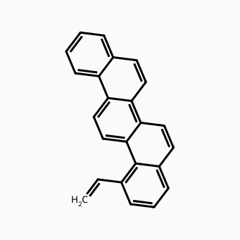 C=Cc1cccc2ccc3c4ccc5ccccc5c4ccc3c12